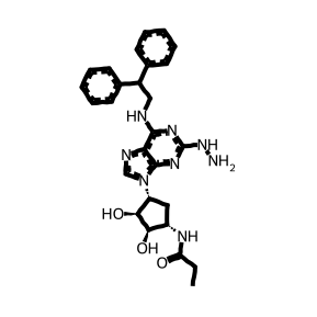 CCC(=O)N[C@H]1C[C@@H](n2cnc3c(NCC(c4ccccc4)c4ccccc4)nc(NN)nc32)[C@H](O)[C@@H]1O